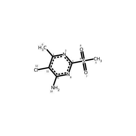 Cc1nc(S(C)(=O)=O)nc(N)c1Cl